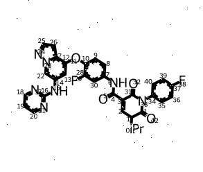 CC(C)C1C=C(C(=O)Nc2ccc(Oc3cc(Nc4ncccn4)cn4nccc34)c(F)c2)C(=O)N(c2ccc(F)cc2)C1=O